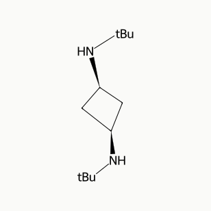 CC(C)(C)N[C@H]1C[C@@H](NC(C)(C)C)C1